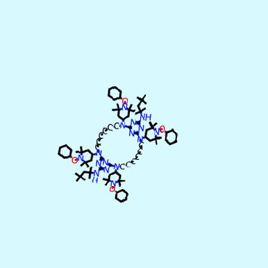 CC(C)(C)CC(C)(C)Nc1nc2nc(n1)N(C1CC(C)(C)N(OC3CCCCC3)C(C)(C)C1)CCCCCCN(C1CC(C)(C)N(OC3CCCCC3)C(C)(C)C1)c1nc(NC(C)(C)CC(C)(C)C)nc(n1)N(C1CC(C)(C)N(OC3CCCCC3)C(C)(C)C1)CCCCCCN2C1CC(C)(C)N(OC2CCCCC2)C(C)(C)C1